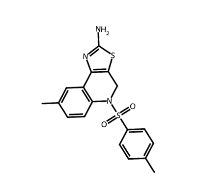 Cc1ccc(S(=O)(=O)N2Cc3sc(N)nc3-c3cc(C)ccc32)cc1